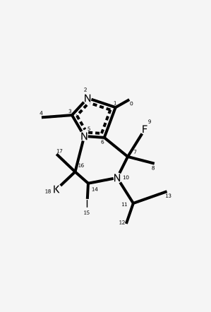 Cc1nc(C)n2c1C(C)(F)N(C(C)C)C(I)[C]2(C)[K]